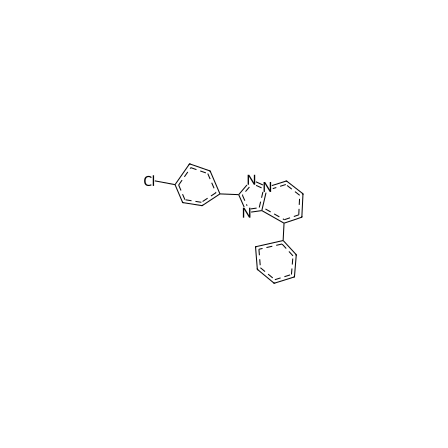 Clc1ccc(-c2nc3c(-c4ccccc4)cccn3n2)cc1